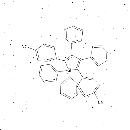 N#Cc1ccc(C2=C(c3ccccc3)C(c3ccccc3)=C(c3ccc(C#N)cc3)[Si]2(c2ccccc2)c2ccccc2)cc1